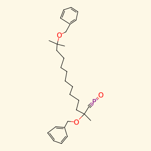 CC(C)(CCCCCCCCCC(C)(C#P=O)OCc1ccccc1)OCc1ccccc1